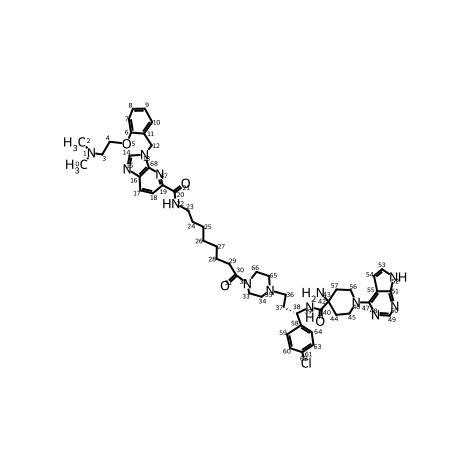 CN(C)CCOc1ccccc1Cn1cnc2ccc(C(=O)NCCCCCCCC(=O)N3CCN(CC[C@H](NC(=O)C4(N)CCN(c5ncnc6[nH]ccc56)CC4)c4ccc(Cl)cc4)CC3)nc21